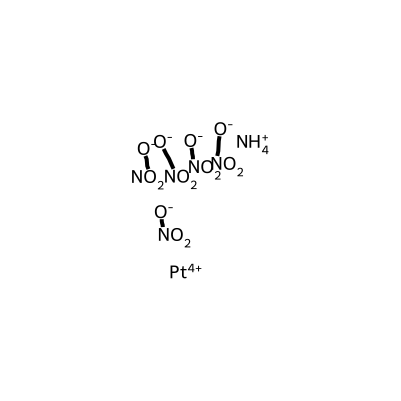 O=[N+]([O-])[O-].O=[N+]([O-])[O-].O=[N+]([O-])[O-].O=[N+]([O-])[O-].O=[N+]([O-])[O-].[NH4+].[Pt+4]